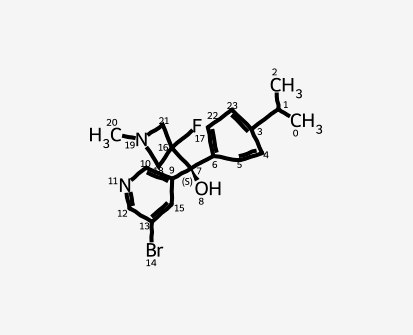 CC(C)c1ccc([C@](O)(c2cncc(Br)c2)C2(F)CN(C)C2)cc1